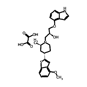 COc1cccc2sc([C@H]3CCN(C[C@H](O)COc4cccc5[nH]ccc45)[C@H](C)C3)cc12.O=C(O)C(=O)O